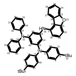 CC(C)(C)c1ccc(N(c2ccc(C(C)(C)C)cc2)c2cc(Nc3cccc4oc5ccccc5c34)cc(N(c3ccccc3)c3ccccc3)c2)cc1